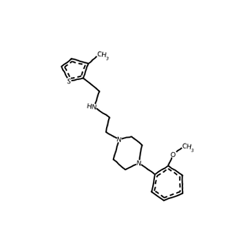 COc1ccccc1N1CCN(CCNCc2sccc2C)CC1